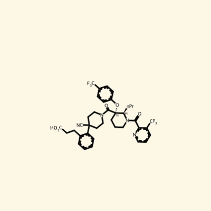 CCC[C@H]1N(C(=O)c2ncccc2C(F)(F)F)CCC[C@@]1(Oc1ccc(C(F)(F)F)cc1)C(=O)N1CCC(C#N)(c2ccccc2CCC(=O)O)CC1